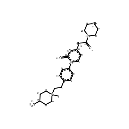 C[N+]1(CCc2ccc(-n3ccc(NC(=O)N4CCNCC4)nc3=O)cc2)CCC(N)CC1